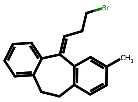 Cc1ccc2c(c1)C(=CCCBr)c1ccccc1CC2